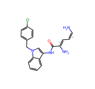 N/C=C\C=C(/N)C(=O)Nc1cn(Cc2ccc(Cl)cc2)c2ccccc12